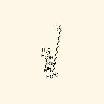 C=CC.CCCCCCCCCCCCCCCCC(O)C(=O)O.OCC(O)CO